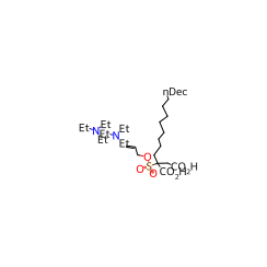 C=CCOS(=O)(=O)C(CCCCCCCCCCCCCCCCCC)(CC(=O)O)C(=O)O.CCN(CC)CC.CCN(CC)CC